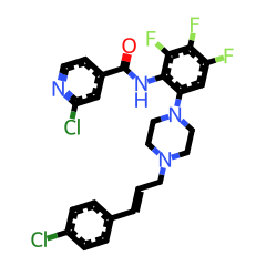 O=C(Nc1c(N2CCN(CC=Cc3ccc(Cl)cc3)CC2)cc(F)c(F)c1F)c1ccnc(Cl)c1